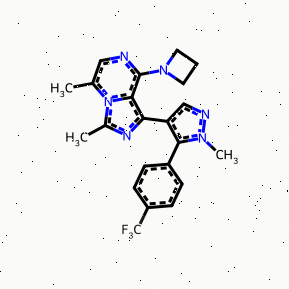 Cc1cnc(N2CCC2)c2c(-c3cnn(C)c3-c3ccc(C(F)(F)F)cc3)nc(C)n12